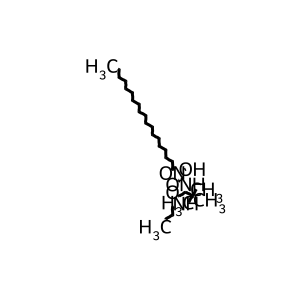 CCCCCCCCCCCCCCCCCCC(=O)N(O)C(=O)NC(C(=O)NCCCC)C(C)(C)C